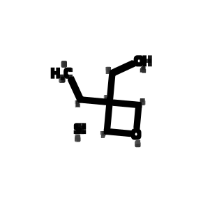 CCC1(CO)COC1.[Si]